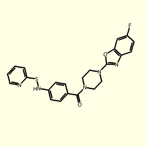 O=C(c1ccc(NSc2ccccn2)cc1)N1CCN(c2nc3ccc(F)cc3o2)CC1